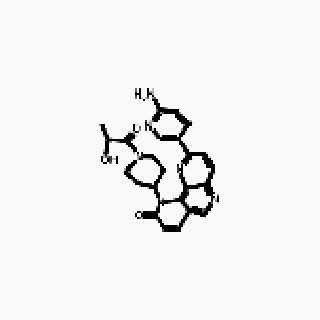 CC(O)C(=O)N1CCC(n2c(=O)ccc3cnc4ccc(-c5ccc(N)nc5)nc4c32)CC1